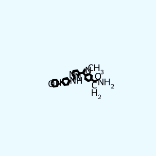 C=C(C(N)=O)c1ccc2c(-c3ccnc(Nc4ccc(N5CCOCC5)cc4)n3)cn(C)c2c1